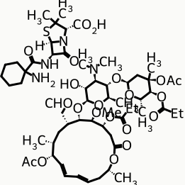 CC1(C)S[C@@H]2[C@H](NC(=O)C3(N)CCCCC3)C(=O)N2[C@H]1C(=O)O.CCC(=O)O[C@@H]1CC(=O)O[C@H](C)C/C=C/C=C/[C@H](OC(C)=O)[C@H](C)C[C@H](CC=O)[C@H](O[C@@H]2O[C@H](C)[C@@H](O[C@H]3C[C@@](C)(OC(C)=O)[C@@H](OC(=O)CC)[C@H](C)O3)[C@H](N(C)C)[C@H]2O)[C@H]1OC